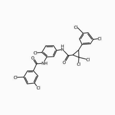 O=C(Nc1cc(NC(=O)C2C(c3cc(Cl)cc(Cl)c3)C2(Cl)Cl)ccc1Cl)c1cc(Cl)cc(Cl)c1